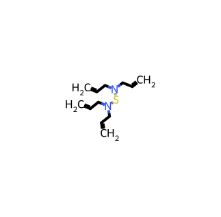 C=CCN(CC=C)SN(CC=C)CC=C